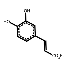 CCOC(=O)C=Cc1ccc(O)c(O)c1